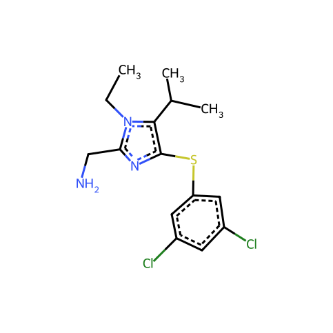 CCn1c(CN)nc(Sc2cc(Cl)cc(Cl)c2)c1C(C)C